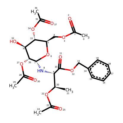 CC(=O)OC[C@H]1O[C@H](N[C@H](C(=O)OCc2ccccc2)[C@@H](C)OC(C)=O)[C@H](OC(C)=O)[C@@H](O)[C@@H]1OC(C)=O